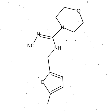 Cc1ccc(CN/C(=N\C#N)N2CCOCC2)o1